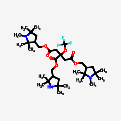 CN1C(C)(C)CC(COC(=O)CC(CC(=O)OCC2CC(C)(C)N(C)C2(C)C)(OC(F)(F)F)C(=O)OCC2CC(C)(C)NC2(C)C)C1(C)C